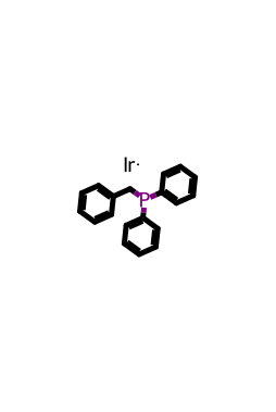 [Ir].c1ccc(CP(c2ccccc2)c2ccccc2)cc1